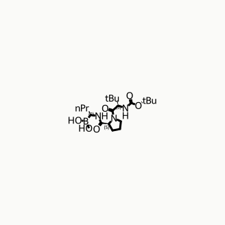 CCC[C@H](NC(=O)[C@@H]1CCCN1C(=O)[C@@H](NC(=O)OC(C)(C)C)C(C)(C)C)B(O)O